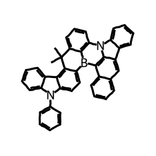 CC1(C)c2cccc3c2B(c2ccc4c(c21)c1ccccc1n4-c1ccccc1)c1c2ccccc2cc2c4ccccc4n-3c12